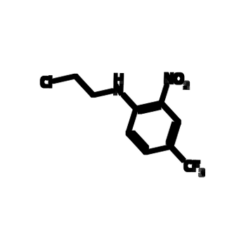 O=[N+]([O-])c1cc(C(F)(F)F)ccc1NCCCl